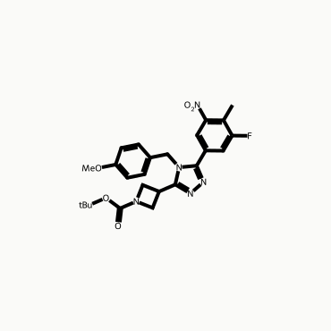 COc1ccc(Cn2c(-c3cc(F)c(C)c([N+](=O)[O-])c3)nnc2C2CN(C(=O)OC(C)(C)C)C2)cc1